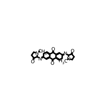 CN1CCC(=O)C1N=C1C=C2C(=O)C3=CCC(=NC4C(=O)CCN4C)C=C3C(=O)C2=CC1